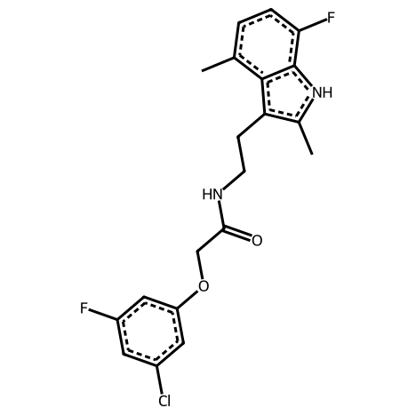 Cc1[nH]c2c(F)ccc(C)c2c1CCNC(=O)COc1cc(F)cc(Cl)c1